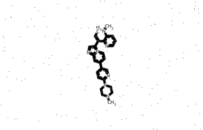 C=Nc1cccnc1/C(=C\C)c1cnc2cc(-c3ccc(N4CCN(C)CC4)nc3)ccn12